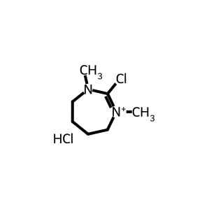 CN1CCCC[N+](C)=C1Cl.Cl